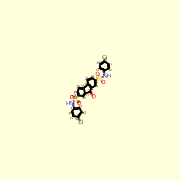 O=C1c2cc(S(=O)(=O)Nc3ccc(Cl)cc3)ccc2-c2ccc(S(=O)(=O)Nc3ccc(Cl)cc3)cc21